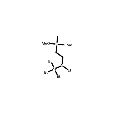 CCN(CC[Si](C)(OC)OC)[Si](CC)(CC)CC